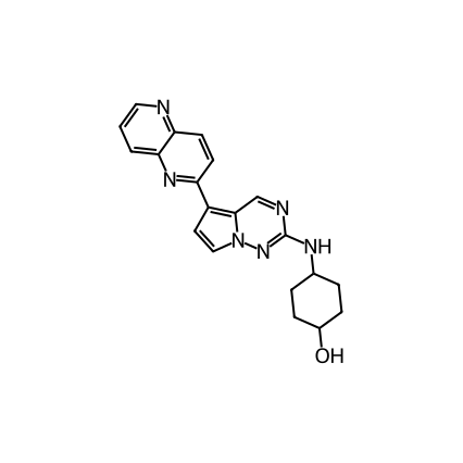 OC1CCC(Nc2ncc3c(-c4ccc5ncccc5n4)ccn3n2)CC1